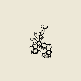 C=CC(=O)N1CC2(C1)CN(c1c(C(=O)NC)c(=O)n(-c3c(C)ccnc3C(C)C)c3nc(-c4c(C)ccc5[nH]ncc45)c(F)cc13)C2